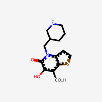 O=C(O)c1c(O)c(=O)n(CC2CCCNC2)c2ccsc12